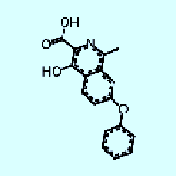 Cc1nc(C(=O)O)c(O)c2ccc(Oc3ccccc3)cc12